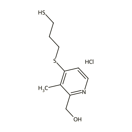 Cc1c(SCCCS)ccnc1CO.Cl